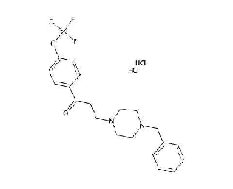 Cl.Cl.O=C(CCN1CCN(Cc2ccccc2)CC1)c1ccc(OC(F)(F)F)cc1